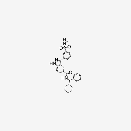 NS(=O)(=O)c1cccc(-c2n[nH]c3ccc(C(=O)NC(c4ccccc4)C4CCCCC4)cc23)c1